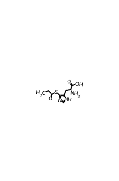 CCC(=O)Sc1nc[nH]c1C[C@@H](N)C(=O)O